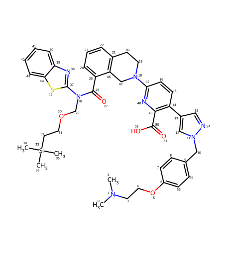 CN(C)CCOc1ccc(Cn2cc(-c3ccc(N4CCc5cccc(C(=O)N(COCC[Si](C)(C)C)c6nc7ccccc7s6)c5C4)nc3C(=O)O)cn2)cc1